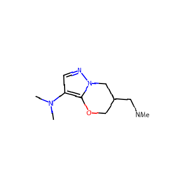 CNCC1COc2c(N(C)C)cnn2C1